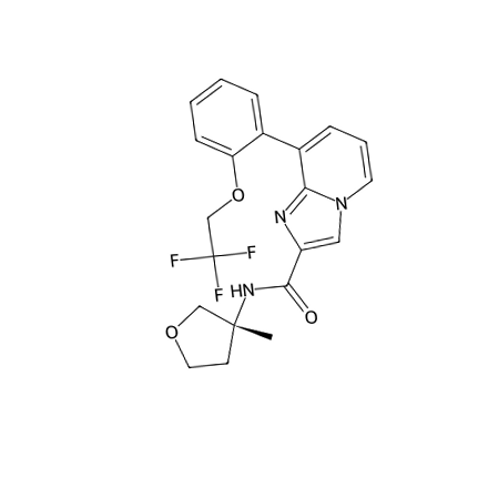 C[C@@]1(NC(=O)c2cn3cccc(-c4ccccc4OCC(F)(F)F)c3n2)CCOC1